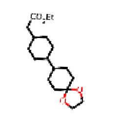 CCOC(=O)CC1CCC(C2CCC3(CC2)OCCO3)CC1